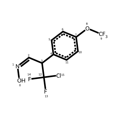 O/N=C\C(c1ccc(OC(F)(F)F)cc1)C(F)(F)Cl